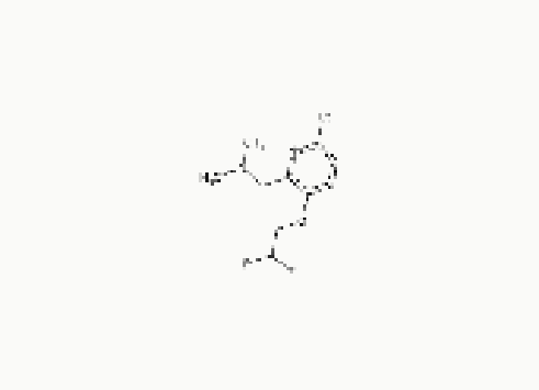 CCc1ccc(OCC(F)F)c(CN(C)C)n1